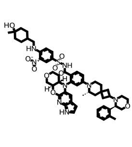 Cc1ccccc1[C@@H]1COCCN1C1CC2(CCN(c3ccc(C(=O)NS(=O)(=O)c4ccc(NCC5CCC(C)(O)CC5)c([N+](=O)[O-])c4)c(N4c5cc6cc[nH]c6nc5O[C@H]5COCC[C@@H]54)c3)[C@@H](C)C2)C1